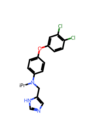 CC(C)N(Cc1cnc[nH]1)c1ccc(Oc2ccc(Cl)c(Cl)c2)cc1